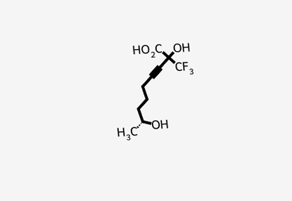 C[C@@H](O)CCCC#CC(O)(C(=O)O)C(F)(F)F